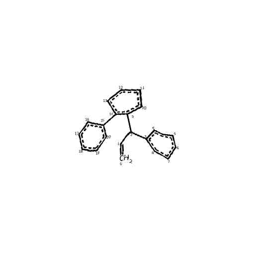 C=CC(c1ccccc1)c1ccccc1-c1ccccc1